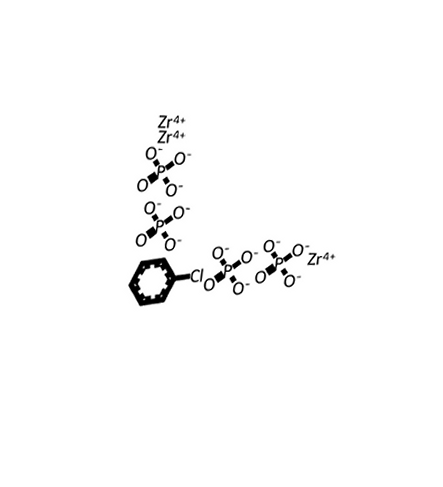 Clc1ccccc1.O=P([O-])([O-])[O-].O=P([O-])([O-])[O-].O=P([O-])([O-])[O-].O=P([O-])([O-])[O-].[Zr+4].[Zr+4].[Zr+4]